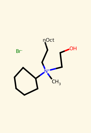 CCCCCCCCCC[N+](C)(CCO)C1CCCCC1.[Br-]